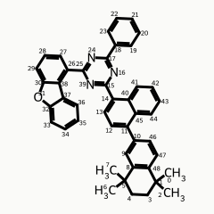 CC1(C)CCC(C)(C)c2cc(-c3ccc(-c4nc(-c5ccccc5)nc(-c5cccc6oc7ccccc7c56)n4)c4ccccc34)ccc21